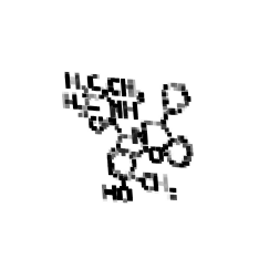 Cc1c(O)ccc2c1C(=O)N(CC(c1ccccc1)c1ccccc1)C2C(=O)NC(C)(C)C